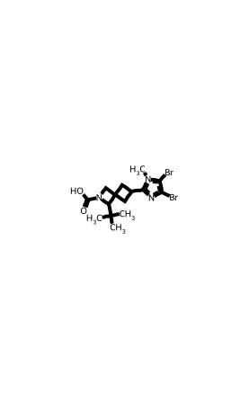 Cn1c(C2CC3(C2)CN(C(=O)O)C3C(C)(C)C)nc(Br)c1Br